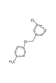 Cc1ccc(OCc2cccc(Cl)c2)cc1